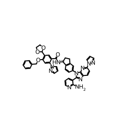 Nc1ncccc1-c1nc2ccc(-n3cccn3)nc2n1-c1ccc2c(c1)CC[C@@H]2NC(=O)c1cc(C2OCCO2)c(OCc2ccccc2)cc1-n1cccn1